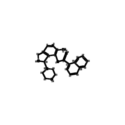 Cc1ncc2c(c1OC(=O)c1cccc3ccccc13)C(N1CCOCC1)OC2